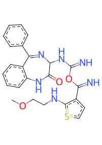 COCCNc1sccc1C(=N)OC(=N)NC1N=C(c2ccccc2)c2ccccc2NC1=O